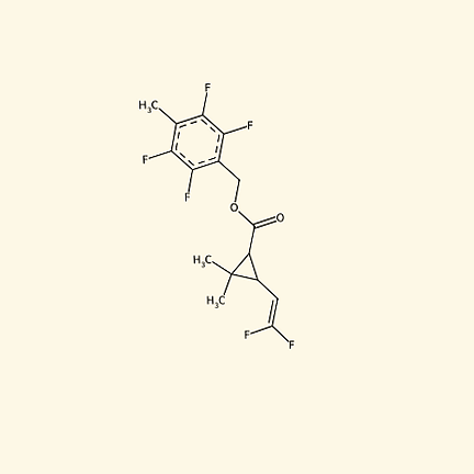 Cc1c(F)c(F)c(COC(=O)C2C(C=C(F)F)C2(C)C)c(F)c1F